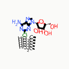 CC(=O)O.CC(=O)O.CC(=O)O.CC(=O)O.CC(=O)O.Nc1nc(Cl)nc2c1ncn2[C@@H]1O[C@H](CO)[C@@H](O)[C@H]1O